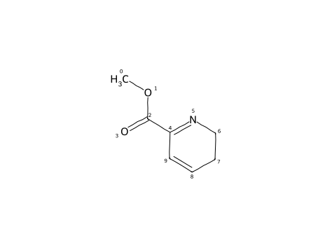 COC(=O)C1=NCCC=C1